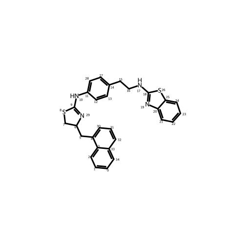 c1ccc2c(CC3CSC(Nc4ccc(CCNc5nc6ccccc6s5)cc4)=N3)cccc2c1